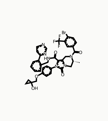 C[C@@H]1Cn2c(c(C(=O)NCc3ccccc3-c3ccncn3)n(-c3ccc(OCC4(O)CC4)cc3)c2=O)CN1C(=O)c1ccc(Br)c(C(F)(F)F)c1